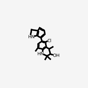 Cc1cc(-c2cccc3c2NCC3)c(Cl)c2c1NC(C)(C)C(O)C2C